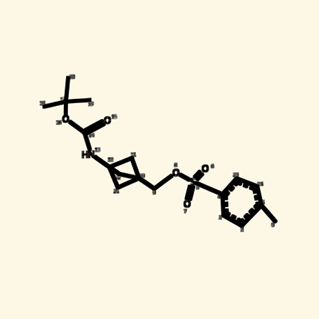 Cc1ccc(S(=O)(=O)OCC23CC(NC(=O)OC(C)(C)C)(C2)C3)cc1